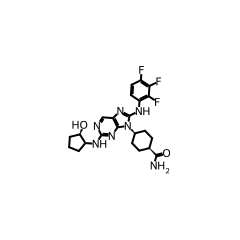 NC(=O)[C@H]1CC[C@@H](n2c(Nc3ccc(F)c(F)c3F)nc3cnc(NC4CCC[C@H]4O)nc32)CC1